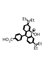 CCN(CC)c1ccc2c(c1)P(=O)(O)C1=CC(=[N+](CC)CC)C=CC1=C2c1ccc(C(=O)O)cc1